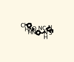 N#Cc1cnc2ccsc2c1NCCc1ccc(NC(=O)Nc2cccc(Cl)c2)cc1